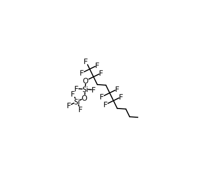 CCCCC(F)(F)C(F)(F)CCC(F)(O[Si](F)(F)O[Si](F)(F)F)C(F)(F)F